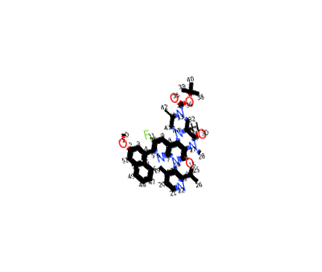 COc1cc(-c2nc3c(cc2F)c2c(c(=O)n3-c3c(C)ccnc3C(C)C)N(C)C(=O)[C@H]3CN(C(=O)OC(C)(C)C)[C@H](C)CN23)c2ccccc2c1